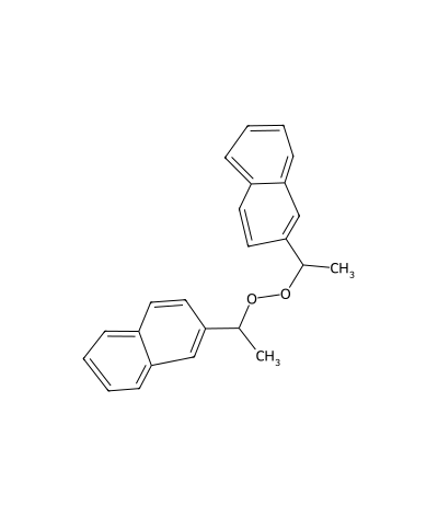 CC(OOC(C)c1ccc2ccccc2c1)c1ccc2ccccc2c1